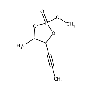 CC#CC1OP(=O)(OC)OC1C